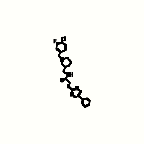 O=C(CSc1ncc(-c2ccccc2)cn1)NCC1CCCN(Cc2ccc(Cl)c(F)c2)C1